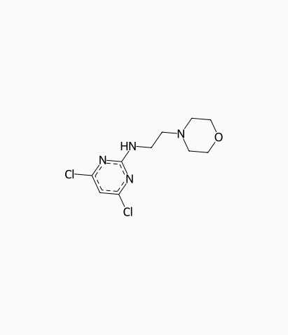 Clc1cc(Cl)nc(NCCN2CCOCC2)n1